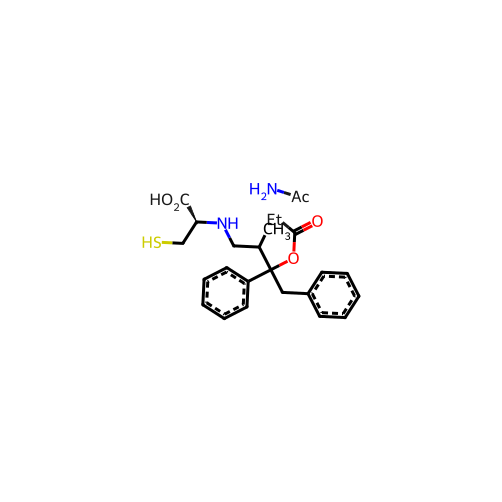 CC(N)=O.CCC(=O)OC(Cc1ccccc1)(c1ccccc1)C(C)CN[C@@H](CS)C(=O)O